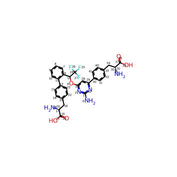 Nc1nc(OC(c2ccccc2-c2ccc(C[C@H](N)C(=O)O)cc2)C(F)(F)F)cc(-c2ccc(C[C@H](N)C(=O)O)cc2)n1